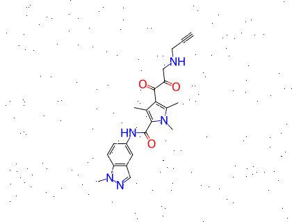 C#CCNCC(=O)C(=O)c1c(C)c(C(=O)Nc2ccc3c(cnn3C)c2)n(C)c1C